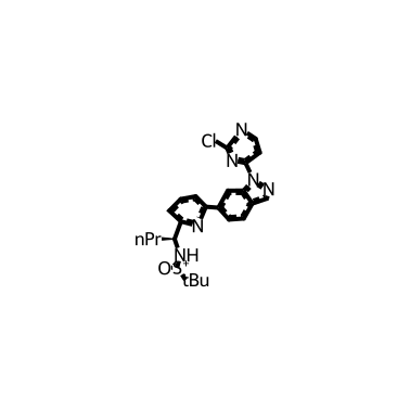 CCC[C@H](N[S+]([O-])C(C)(C)C)c1cccc(-c2ccc3cnn(-c4ccnc(Cl)n4)c3c2)n1